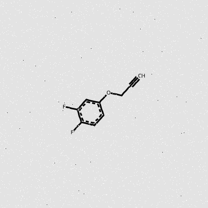 C#CCOc1c[c]c(F)c(F)c1